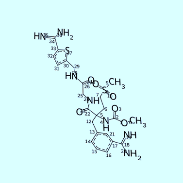 COC(=O)NC(CCS(C)(=O)=O)(Cc1cccc(C(=N)N)c1)C(=O)NCC(=O)NCc1ccc(C(=N)N)s1